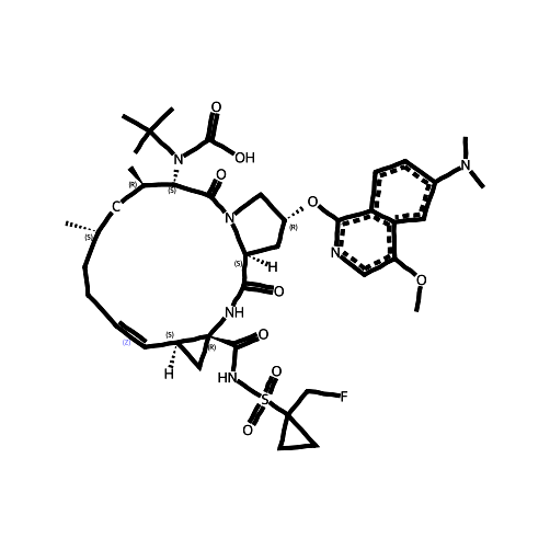 COc1cnc(O[C@@H]2C[C@H]3C(=O)N[C@]4(C(=O)NS(=O)(=O)C5(CF)CC5)C[C@H]4/C=C\CC[C@H](C)C[C@@H](C)[C@H](N(C(=O)O)C(C)(C)C)C(=O)N3C2)c2ccc(N(C)C)cc12